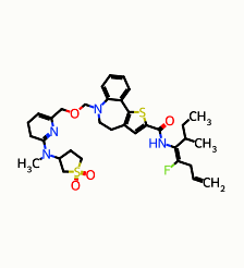 C=CC/C(F)=C(/NC(=O)c1cc2c(s1)-c1ccccc1N(COCC1=CCCC(N(C)C3CCS(=O)(=O)C3)=N1)CC2)C(C)CC